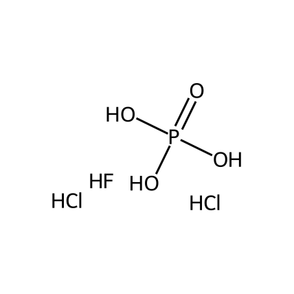 Cl.Cl.F.O=P(O)(O)O